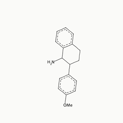 COc1ccc(C2CCc3ccccc3C2N)cc1